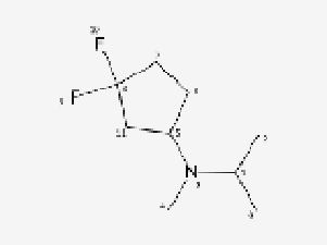 CC(C)N(C)C1CCC(F)(F)C1